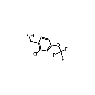 OCc1ccc(OC(F)(F)F)cc1Cl